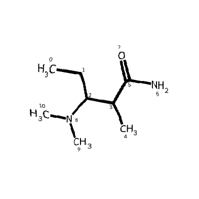 CCC(C(C)C(N)=O)N(C)C